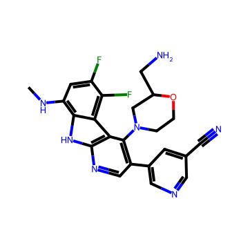 CNc1cc(F)c(F)c2c1[nH]c1ncc(-c3cncc(C#N)c3)c(N3CCOC(CN)C3)c12